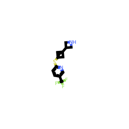 FC(F)(F)c1ccc(SC23CC(C4CNC4)(C2)C3)nc1